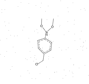 CO[SiH](OC)c1ccc(CCl)cc1